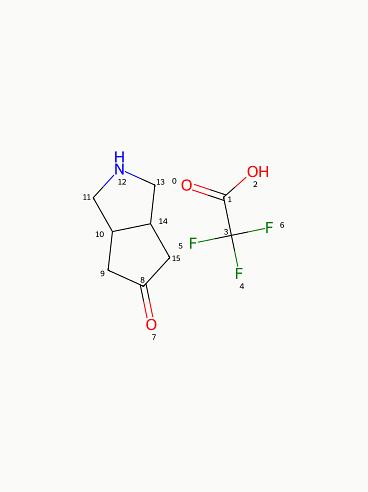 O=C(O)C(F)(F)F.O=C1CC2CNCC2C1